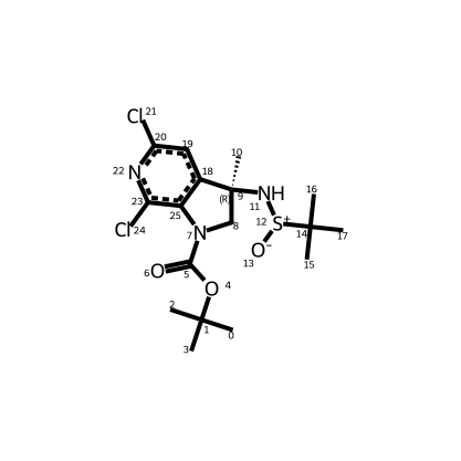 CC(C)(C)OC(=O)N1C[C@](C)(N[S+]([O-])C(C)(C)C)c2cc(Cl)nc(Cl)c21